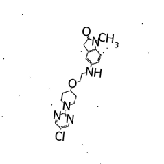 CN1C(=O)Cc2cc(NCCOC3CCN(c4ncc(Cl)cn4)CC3)ccc21